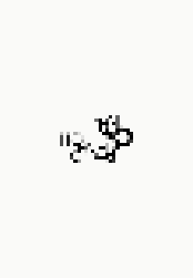 Cn1cc2c(C3CC3CNC(=O)O)cccc2n1